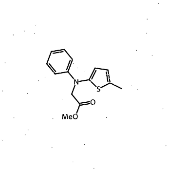 COC(=O)CN(c1ccccc1)c1ccc(C)s1